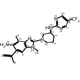 C=C(C)c1cc2c(nc(N3CCCC(Nc4ncc(C(F)(F)F)cn4)C3)n2C)c(C)c1N